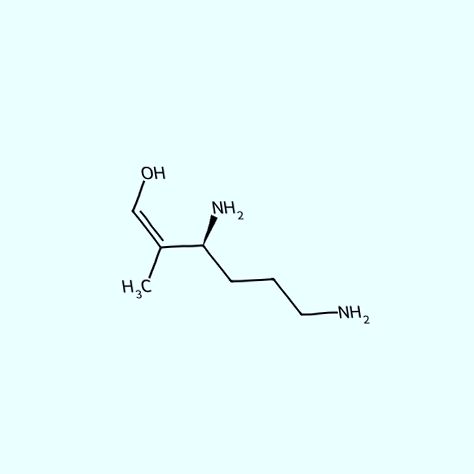 C/C(=C/O)[C@@H](N)CCCN